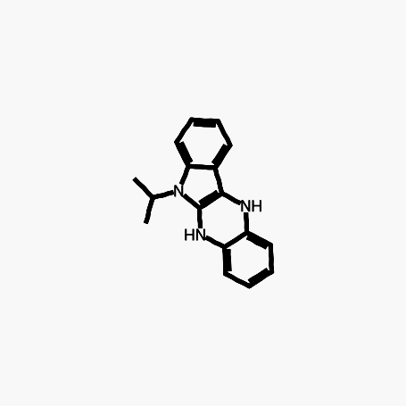 CC(C)n1c2c(c3ccccc31)Nc1ccccc1N2